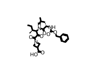 CC[C@H](C)C(NC(=O)[C@H](CC(C)C)NC(=O)OCc1ccccc1)C(=O)C(=O)N1CC(C(=O)O)C1